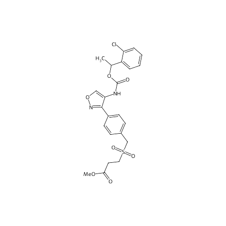 COC(=O)CCS(=O)(=O)Cc1ccc(-c2nocc2NC(=O)OC(C)c2ccccc2Cl)cc1